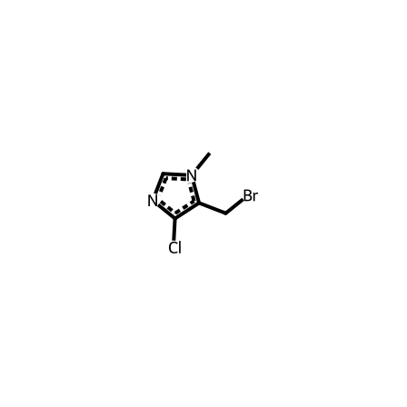 Cn1cnc(Cl)c1CBr